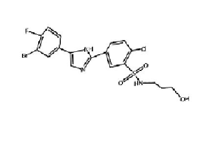 O=S(=O)(NCCCO)c1cc(-c2ncc(-c3ccc(F)c(Br)c3)[nH]2)ccc1Cl